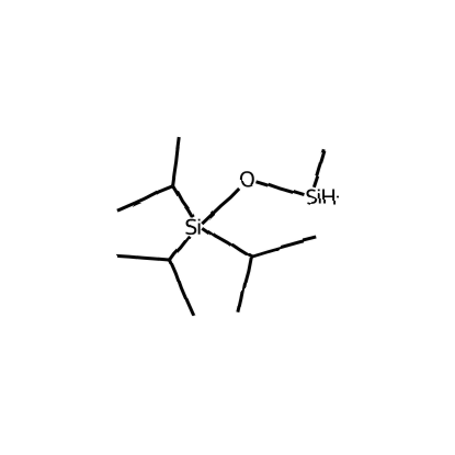 C[SiH]O[Si](C(C)C)(C(C)C)C(C)C